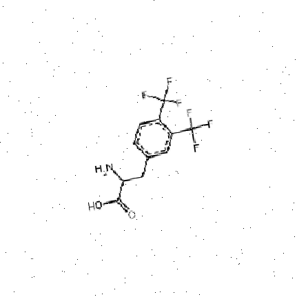 NC(Cc1ccc(C(F)(F)F)c(C(F)(F)F)c1)C(=O)O